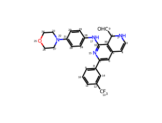 O=CC1NC=Cc2cc(-c3cccc(C(F)(F)F)c3)nc(Nc3ccc(N4CCOCC4)cc3)c21